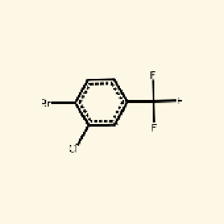 FC(F)(F)c1[c]c(Cl)c(Br)cc1